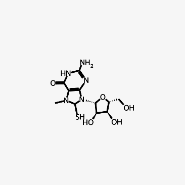 CN1c2c(nc(N)[nH]c2=O)N([C@@H]2O[C@H](CO)[C@@H](O)[C@H]2O)C1S